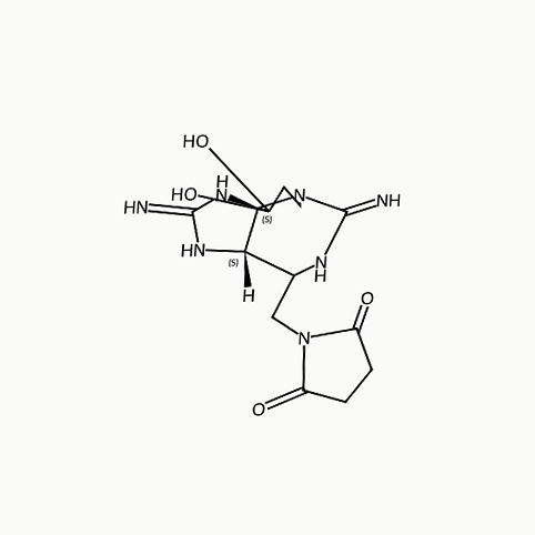 N=C1N[C@H]2C(CN3C(=O)CCC3=O)NC(=N)N3CCC(O)(O)[C@]23N1